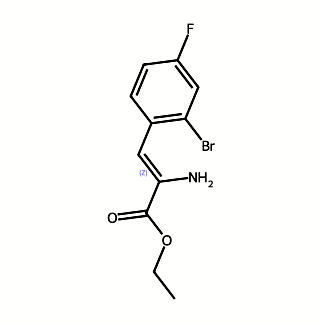 CCOC(=O)/C(N)=C/c1ccc(F)cc1Br